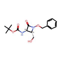 CC(C)(C)OC(=O)N[C@H]1C(=O)N(OCc2ccccc2)[C@@H]1CO